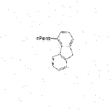 CCCCCc1cccc2c1-c1ccc[c]c1C2